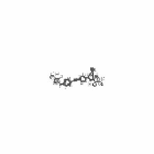 COC1CN(Cc2ccc(C#Cc3ccc([C@@H](CNC4CC4)Cc4nc[nH]c(=O)c4O)cc3)cc2)C1